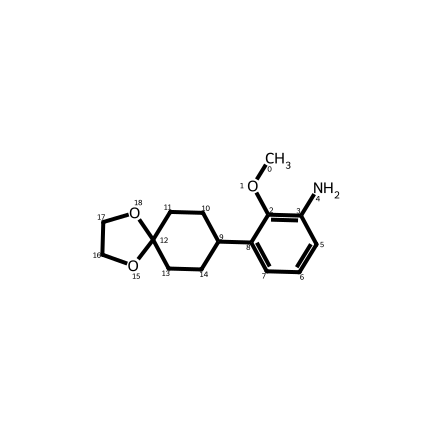 COc1c(N)cccc1C1CCC2(CC1)OCCO2